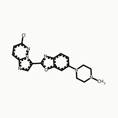 CN1CCN(c2ccc3nc(-c4cnc5ccc(Cl)nn45)oc3c2)CC1